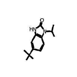 CC(C)n1c(=O)[nH]c2cc(C(C)(C)C)ccc21